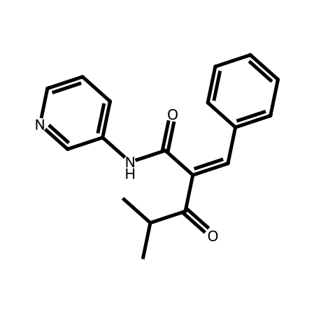 CC(C)C(=O)C(=Cc1ccccc1)C(=O)Nc1cccnc1